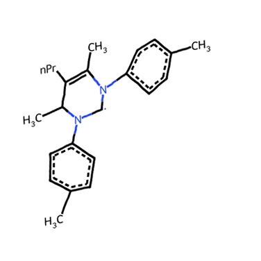 CCCC1=C(C)N(c2ccc(C)cc2)[CH]N(c2ccc(C)cc2)C1C